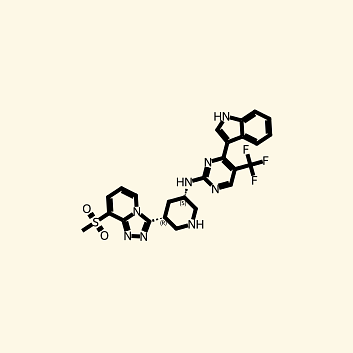 CS(=O)(=O)c1cccn2c([C@H]3CNC[C@@H](Nc4ncc(C(F)(F)F)c(-c5c[nH]c6ccccc56)n4)C3)nnc12